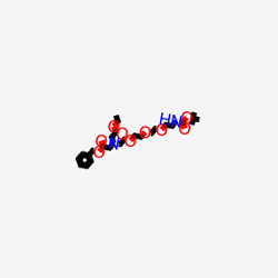 CCOC(=O)CN(CCOCCOCCOCCNC(=O)OC(C)(C)C)CC(=O)OCc1ccccc1